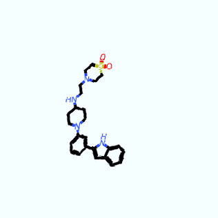 O=S1(=O)CCN(CCNC2CCN(c3cccc(-c4cc5ccccc5[nH]4)c3)CC2)CC1